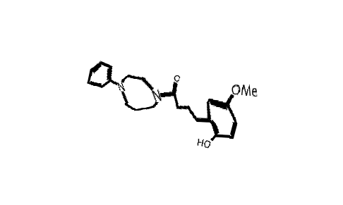 COc1ccc(O)c(CCCC(=O)N2CCCN(c3ccccc3)CC2)c1